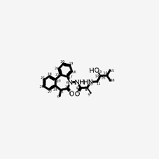 CC1C(=O)N(NC(=O)[C@H](C)NC[C@@H](O)C(C)C)c2ccccc2-c2ccccc21